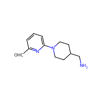 NCC1CCN(c2cccc(C=O)n2)CC1